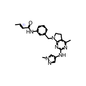 C/C=C/C(=O)Nc1cccc(CN2CCc3c(C)nc(Nc4cnn(C)c4)nc32)c1